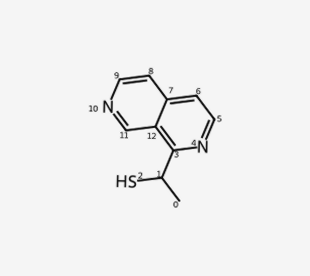 CC(S)c1nccc2ccncc12